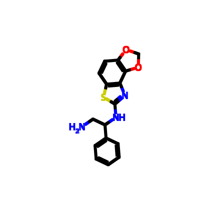 NCC(Nc1nc2c3c(ccc2s1)OCO3)c1ccccc1